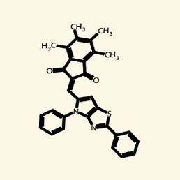 Cc1c(C)c(C)c2c(c1C)C(=O)C(=Cc1cc3sc(-c4ccccc4)nc3n1-c1ccccc1)C2=O